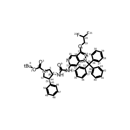 CC(C)(C)OC(=O)N1C[C@H](NC(=O)Nc2cc3c(cn2)c(OCC(F)F)nn3C(c2ccccc2)(c2ccccc2)c2ccccc2)[C@@H](c2ccccc2)C1